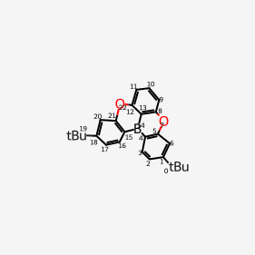 CC(C)(C)c1ccc2c(c1)Oc1cccc3c1B2c1ccc(C(C)(C)C)cc1O3